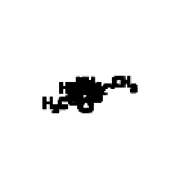 CCCCO[N+]1([O-])NC(N)(O)[N+]([O-])(OCC)c2ccccc21